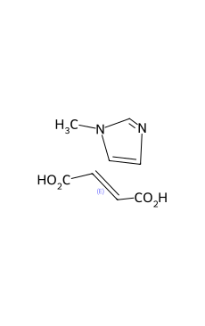 Cn1ccnc1.O=C(O)/C=C/C(=O)O